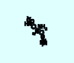 Cc1nnc(COc2ccc3c(N)c(-c4ccc(NC(=O)OC(C)C)cc4)n(C4CCC4)c3c2)s1